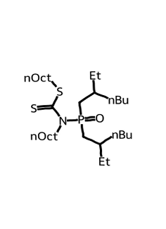 CCCCCCCCSC(=S)N(CCCCCCCC)P(=O)(CC(CC)CCCC)CC(CC)CCCC